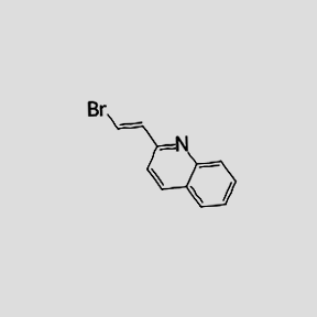 Br/C=C/c1ccc2ccccc2n1